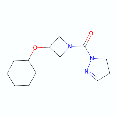 O=C(N1CC(OC2CCCCC2)C1)N1CCC=N1